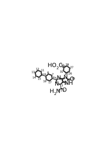 NC(=O)c1nc(-c2ccc(-c3ccccc3)cc2)nc2c1[nH]c(=O)n2-c1cccc(C(=O)O)c1